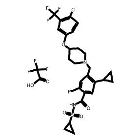 O=C(NS(=O)(=O)C1CC1)c1cc(C2CC2)c(CN2CCC(Oc3ccc(Cl)c(C(F)(F)F)c3)CC2)cc1F.O=C(O)C(F)(F)F